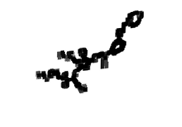 C=CCOC(=O)C(=C=c1sc(=C=CNc2cccc(OCCN3CCOCC3)c2)c(=O)n1CC)C#N